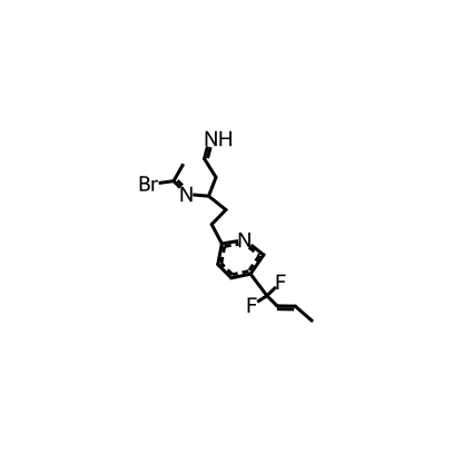 C/C=C/C(F)(F)c1ccc(CCC(CC=N)/N=C(\C)Br)nc1